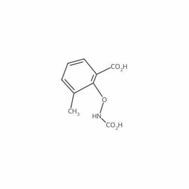 Cc1cccc(C(=O)O)c1ONC(=O)O